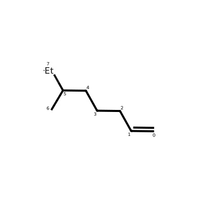 C=CCCCC(C)[CH]C